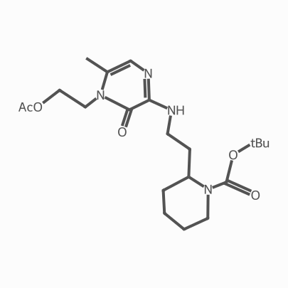 CC(=O)OCCn1c(C)cnc(NCCC2CCCCN2C(=O)OC(C)(C)C)c1=O